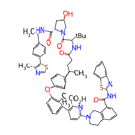 Cc1ncsc1-c1ccc([C@H](C)NC(=O)[C@@H]2C[C@@H](O)CN2C(=O)C(NC(=O)CCC(C)c2ccc(Oc3cccc(-c4ccc(N5CCc6cccc(C(=O)Nc7nc8ccccc8s7)c6C5)nc4C(=O)O)c3C)cc2)C(C)(C)C)cc1